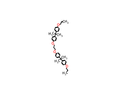 C=CCOc1ccc(C(C)(C)c2ccc(OCCCOc3ccc(C(C)(C)c4ccc(OCC=C)cc4)cc3)cc2)cc1